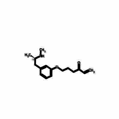 C=CC(=O)CCCOc1cccc(C[C@H](C)NC)c1